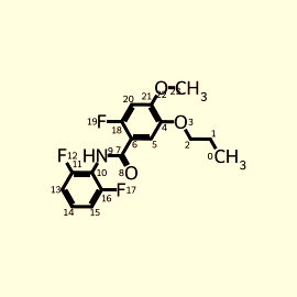 CCCOc1cc(C(=O)Nc2c(F)cccc2F)c(F)cc1OC